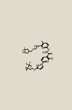 Cc1ccc(SNC(=O)c2ccc(-n3ccc(OCCC4(C(F)(F)F)CC4)n3)nc2Cl)nc1NCCCC1CNC(C)(C)C1